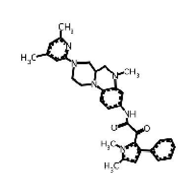 Cc1cc(C)nc(N2CCN3c4ccc(NC(=O)C(=O)c5c(-c6ccccc6)cc(C)n5C)cc4N(C)CC3C2)c1